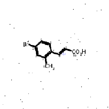 Cc1cc(Br)ccc1/C=C/C(=O)O